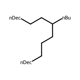 [CH2]CCCC(CCCCCCCCCCCC)CCCCCCCCCCCCC